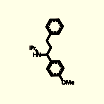 COc1ccc(C(CCc2ccccc2)NC(C)C)cc1